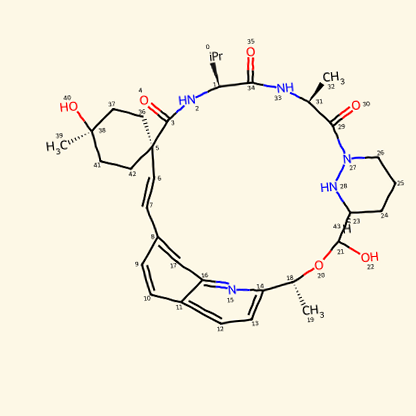 CC(C)[C@@H]1NC(=O)[C@]2(/C=C/c3ccc4ccc(nc4c3)[C@@H](C)OC(O)[C@@H]3CCCN(N3)C(=O)[C@H](C)NC1=O)CC[C@](C)(O)CC2